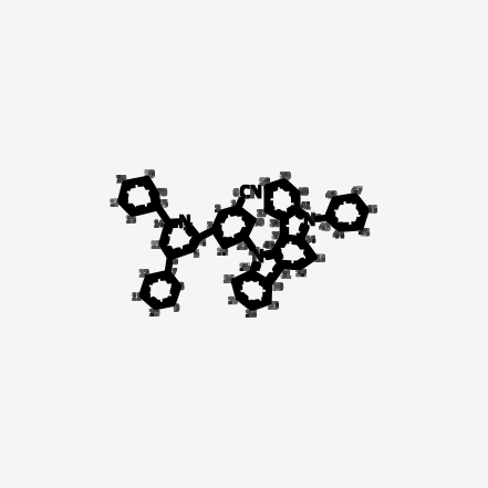 N#Cc1cc(-c2cc(-c3ccccc3)cc(-c3ccccc3)n2)cc(-n2c3ccccc3c3ccc4c(c5ccccc5n4-c4ccccc4)c32)c1